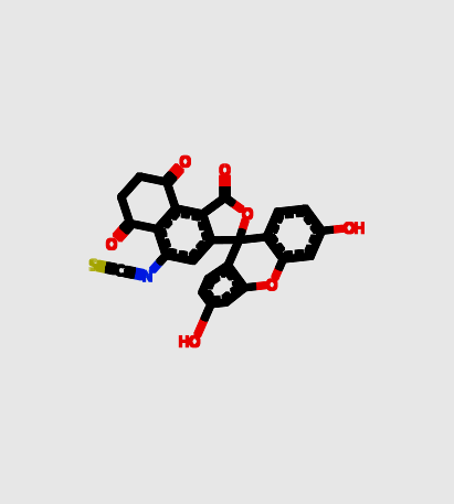 O=C1CCC(=O)c2c1c(N=C=S)cc1c2C(=O)OC12c1ccc(O)cc1Oc1cc(O)ccc12